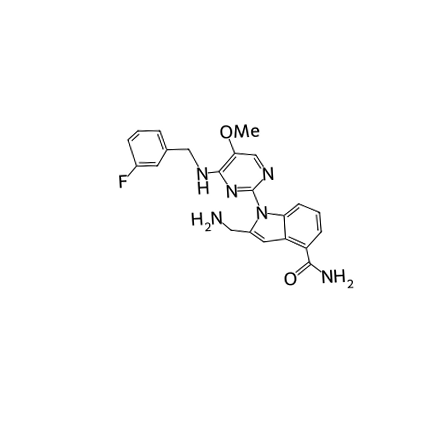 COc1cnc(-n2c(CN)cc3c(C(N)=O)cccc32)nc1NCc1cccc(F)c1